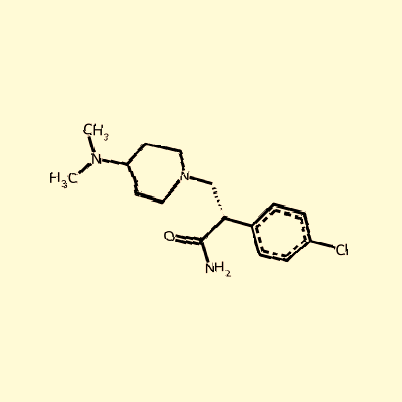 CN(C)C1CCN(C[C@@H](C(N)=O)c2ccc(Cl)cc2)CC1